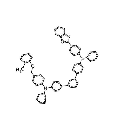 Cc1ccccc1OCc1ccc(N(c2ccccc2)c2ccc(-c3cccc(-c4ccc(N(c5ccccc5)c5ccc(-c6nc7ccccc7o6)cc5)cc4)c3)cc2)cc1